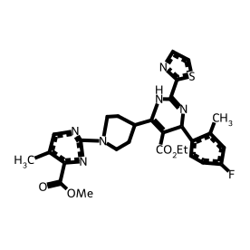 CCOC(=O)C1=C(C2CCN(c3ncc(C)c(C(=O)OC)n3)CC2)NC(c2nccs2)=NC1c1ccc(F)cc1C